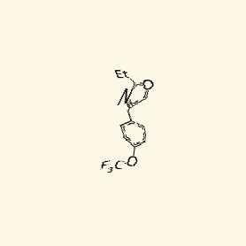 CCc1nc(-c2ccc(OC(F)(F)F)cc2)co1